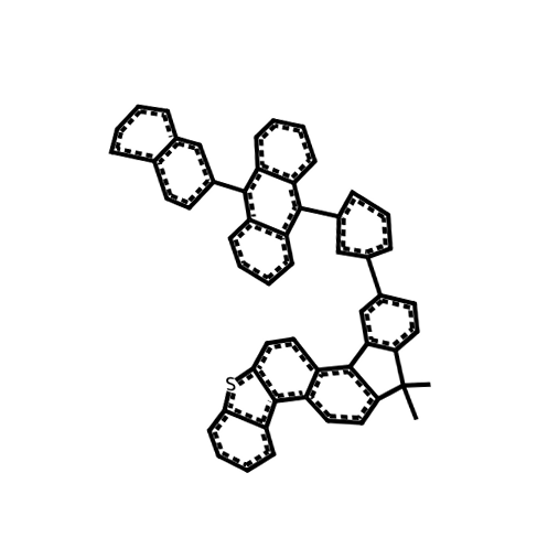 CC1(C)c2ccc(-c3cccc(-c4c5ccccc5c(-c5ccc6ccccc6c5)c5ccccc45)c3)cc2-c2c1ccc1c2ccc2sc3ccccc3c21